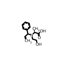 C=CC(c1ccccc1)N(CCO)[C@@H](C)C(=O)O